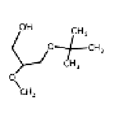 COC(CO)COC(C)(C)C